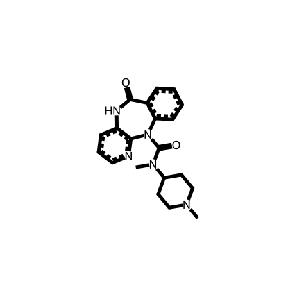 CN1CCC(N(C)C(=O)N2c3ccccc3C(=O)Nc3cccnc32)CC1